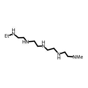 CCNCCNCCNCCNCCNC